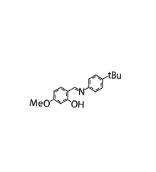 COc1ccc(C=Nc2ccc(C(C)(C)C)cc2)c(O)c1